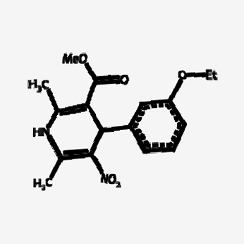 CCOc1cccc(C2C(C(=O)OC)=C(C)NC(C)=C2[N+](=O)[O-])c1